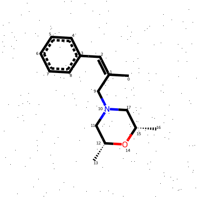 CC(=Cc1ccccc1)CN1C[C@@H](C)O[C@@H](C)C1